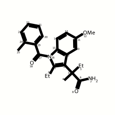 CCc1c(C(C)(CC)C(N)=O)c2cc(OC)ccc2n1C(=O)c1ccccc1C